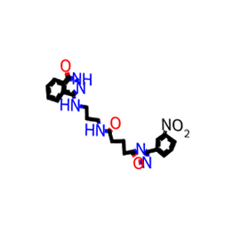 O=C(CCCc1nc(-c2cccc([N+](=O)[O-])c2)no1)NCCCNc1n[nH]c(=O)c2ccccc12